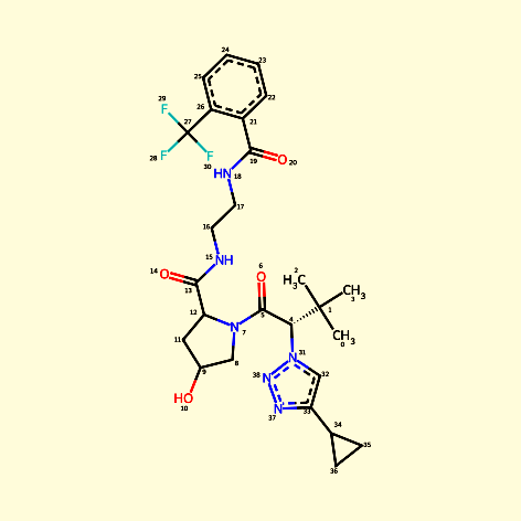 CC(C)(C)[C@@H](C(=O)N1CC(O)CC1C(=O)NCCNC(=O)c1ccccc1C(F)(F)F)n1cc(C2CC2)nn1